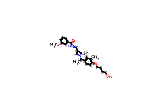 COc1cccc(C(=O)NCC2CN(C(C)c3ccc(OCCCCO)c(C)c3C)C2)c1